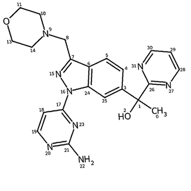 CC(O)(c1ccc2c(CN3CCOCC3)nn(-c3ccnc(N)n3)c2c1)c1ncccn1